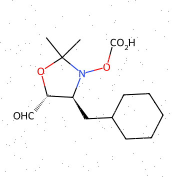 CC1(C)O[C@@H](C=O)[C@H](CC2CCCCC2)N1OC(=O)O